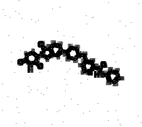 O=C1CCC(N2Cc3cc(C4CCN(Cc5ccnc(C(=O)Nc6ccccc6)c5)CC4)ccc3C2=O)C(=O)N1